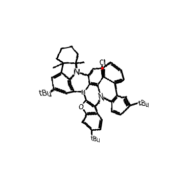 CC(C)(C)c1ccc(N2c3cc(Cl)cc4c3B(c3cc(C(C)(C)C)cc5c3N4C3(C)CCCCC53C)c3oc4cc(C(C)(C)C)ccc4c32)c(-c2ccccc2)c1